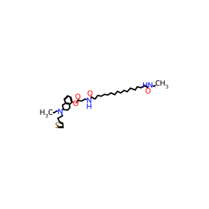 CCCN(CCc1cccs1)C1CCc2c(cccc2OC(=O)CCNC(=O)CCCCCCCCCCCCCCCCC(=O)NCC)C1